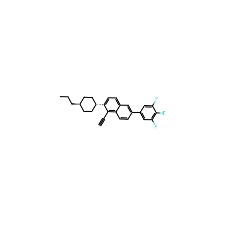 C#Cc1c2ccc(-c3cc(F)c(F)c(F)c3)cc2ccc1[C@H]1CC[C@H](CCC)CC1